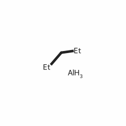 CCCCC.[AlH3]